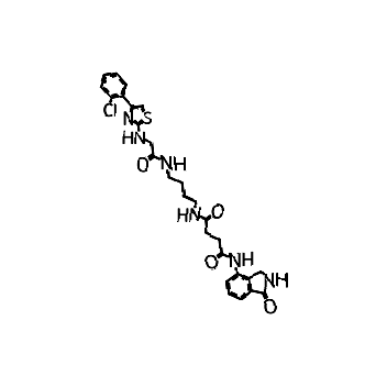 O=C(CCC(=O)Nc1cccc2c1CNC2=O)NCCCCNC(=O)CNc1nc(-c2ccccc2Cl)cs1